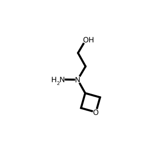 NN(CCO)C1COC1